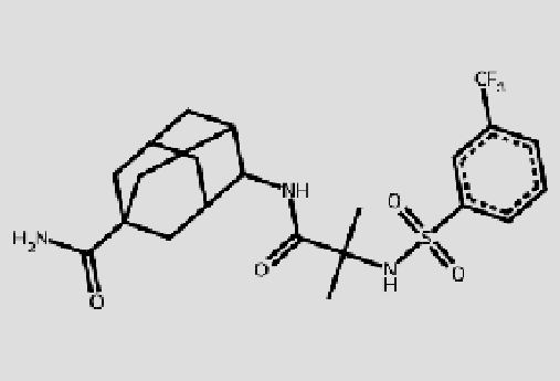 CC(C)(NS(=O)(=O)c1cccc(C(F)(F)F)c1)C(=O)NC1C2CC3CC1CC(C(N)=O)(C3)C2